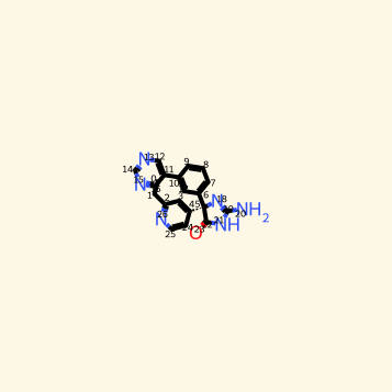 CCc1cc([C@]2(c3cccc(-c4cncnc4)c3)N=C(N)NC2=O)ccn1